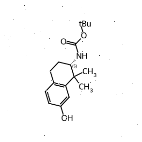 CC(C)(C)OC(=O)N[C@H]1CCc2ccc(O)cc2C1(C)C